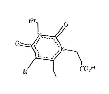 Cc1c(Br)c(=O)n(C(C)C)c(=O)n1CC(=O)O